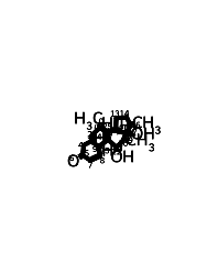 C[C@@H]1C=C2CC(=O)C=C[C@@H]2[C@@H]2[C@@H]1[C@@H]1CC[C@@](C)(O)[C@@]1(C)C[C@@H]2O